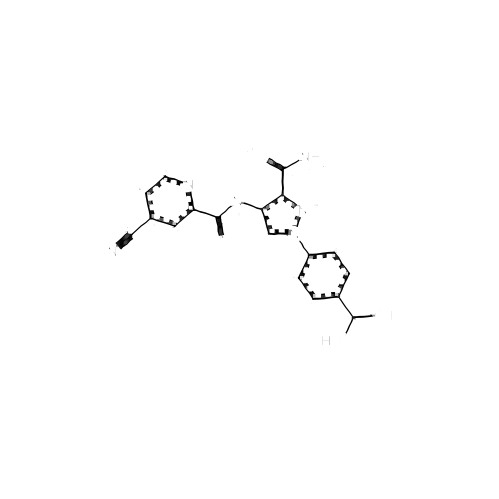 CC(C)c1ccc(-n2cc(NC(=O)c3cc(C#N)ccn3)c(C(N)=O)n2)cc1